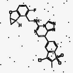 CC1=C(Cl)c2cc(-c3cnc(NCc4c(F)ccc5c4[C@H]4CC4O5)n4cnnc34)ccc2S1(=O)=O